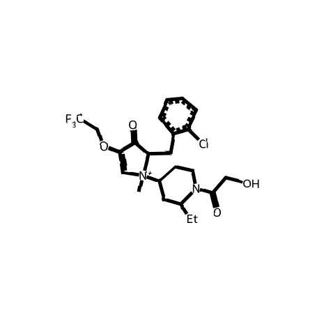 CCC1CC([N+]2(C)C=C(OCC(F)(F)F)C(=O)C2Cc2ccccc2Cl)CCN1C(=O)CO